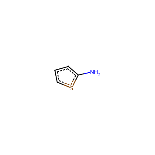 Nc1[c]ccs1